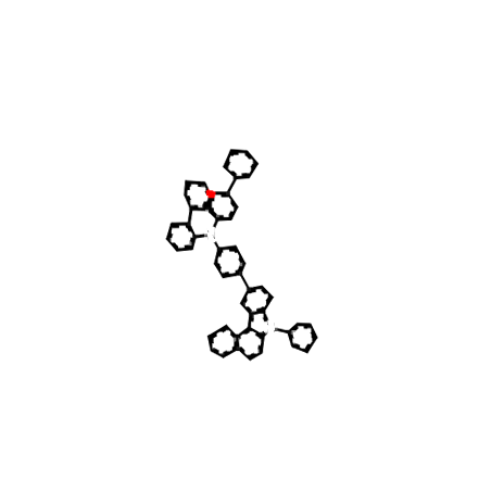 c1ccc(-c2ccc(N(c3ccc(-c4ccc5c(c4)c4c6ccccc6ccc4n5-c4ccccc4)cc3)c3ccccc3-c3ccccc3)cc2)cc1